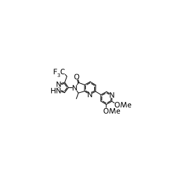 COc1cc(-c2ccc3c(n2)C(C)N(c2c[nH]nc2CC(F)(F)F)C3=O)cnc1OC